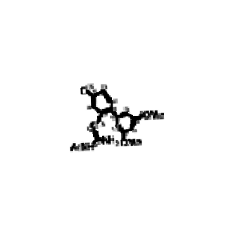 CC(=O)NC(N)=S.COc1cc(OC)nc(-c2ccc(Cl)cc2Cl)c1